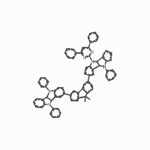 CC1(C)c2ccc(-c3ccc4c(c3)C3C(c5ccccc5N3c3ccccc3)N4c3ccccc3)cc2-c2cc(-c3ccc4c(c3)C3C(c5ccccc5N3c3ccccc3)N4c3nc(-c4ccccc4)cc(-c4ccccc4)n3)ccc21